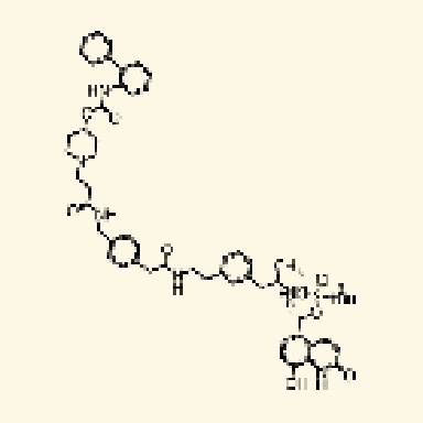 C[C@H](Cc1cccc(CCNC(=O)Cc2ccc(CNC(=O)CCN3CCC(OC(=O)Nc4ccccc4-c4ccccc4)CC3)cc2)c1)NC[C@H](O[Si](C)(C)C(C)(C)C)c1ccc(O)c2[nH]c(=O)ccc12